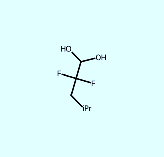 CC(C)CC(F)(F)C(O)O